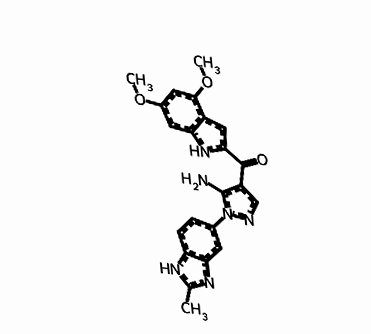 COc1cc(OC)c2cc(C(=O)c3cnn(-c4ccc5[nH]c(C)nc5c4)c3N)[nH]c2c1